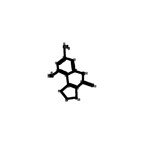 Cc1cc(O)c2c3c(c(=O)oc2c1)SCC3